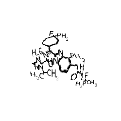 CC(C)n1ncnc1C(=O)N(C)[C@H](c1nc2c(P)c(CC(=O)NCC(C)(F)P)ccc2[nH]1)C1CCC(F)(P)CC1